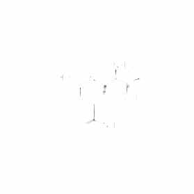 C[C@@H](O)[C@H](N)C(=O)N[C@@H]([C]=O)CCC(N)=O